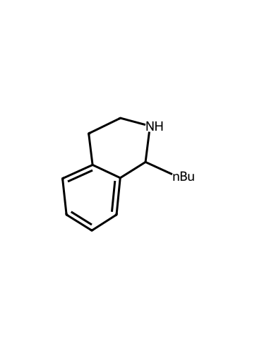 CCCCC1NCCc2ccccc21